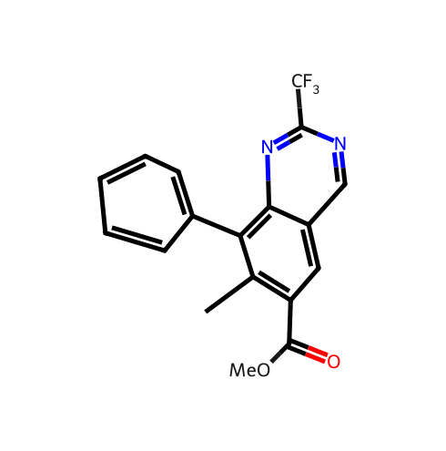 COC(=O)c1cc2cnc(C(F)(F)F)nc2c(-c2ccccc2)c1C